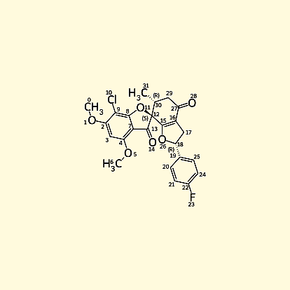 COc1cc(OC)c2c(c1Cl)O[C@]1(C2=O)C2=C(C[C@H](c3ccc(F)cc3)O2)C(=O)C[C@H]1C